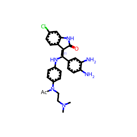 CC(=O)N(CCN(C)C)c1ccc(N/C(=C2/C(=O)Nc3cc(Cl)ccc32)c2ccc(N)c(N)c2)cc1